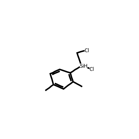 Cc1ccc([SiH](Cl)CCl)c(C)c1